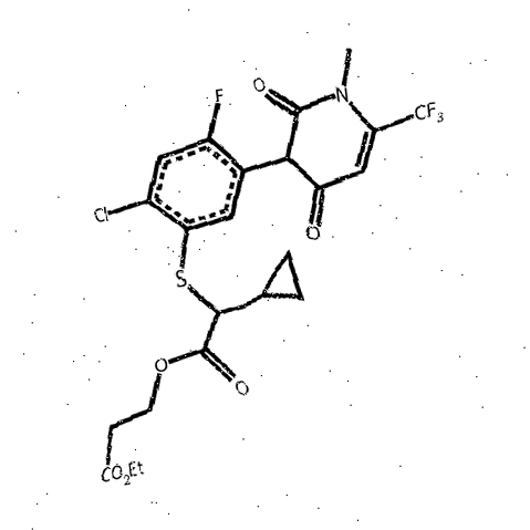 CCOC(=O)CCOC(=O)C(Sc1cc(C2C(=O)C=C(C(F)(F)F)N(C)C2=O)c(F)cc1Cl)C1CC1